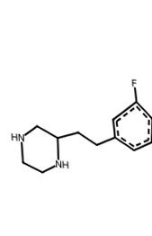 Fc1cccc(CCC2CNCCN2)c1